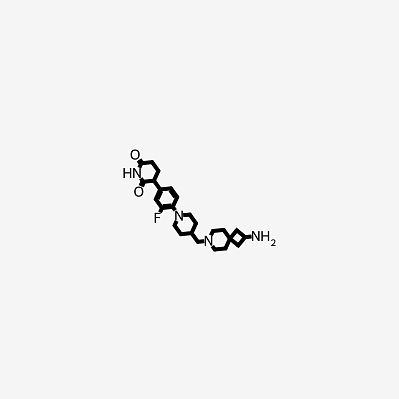 NC1CC2(CCN(CC3CCN(c4ccc(C5CCC(=O)NC5=O)cc4F)CC3)CC2)C1